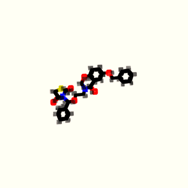 O=C1c2cc(OCc3ccccc3)ccc2OCN1CCOC(c1ccccc1)N1C(=O)CSC1=O